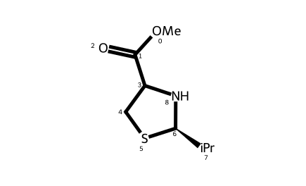 COC(=O)C1CS[C@H](C(C)C)N1